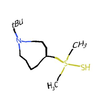 CC(C)(C)N1CCC(S(C)(C)S)C1